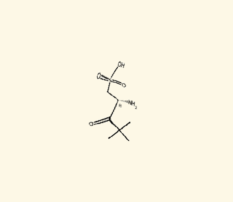 CC(C)(C)C(=O)[C@@H](N)CS(=O)(=O)O